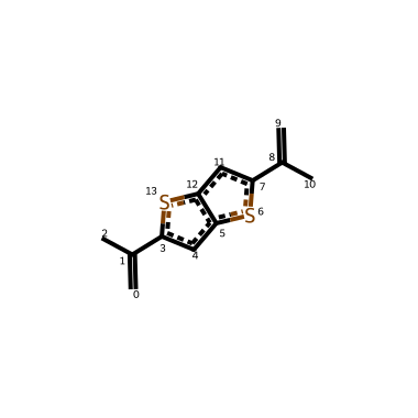 C=C(C)c1cc2sc(C(=C)C)cc2s1